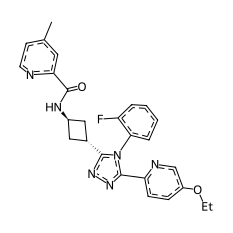 CCOc1ccc(-c2nnc([C@H]3C[C@H](NC(=O)c4cc(C)ccn4)C3)n2-c2ccccc2F)nc1